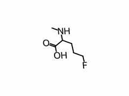 CNC(CCCF)C(=O)O